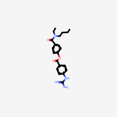 CCCCN(CC)C(=O)c1ccc(OC(=O)c2ccc(NC(=N)N)cc2)cc1